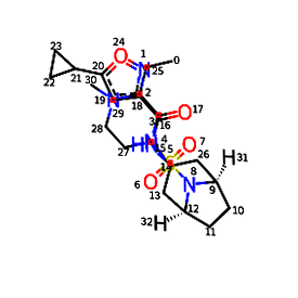 CCC1CN(S(=O)(=O)N2[C@@H]3CC[C@H]2C[C@@H](NC(=O)c2cc(C4CC4)on2)C3)CCN1C